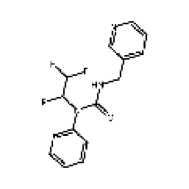 O=C(NCc1cccnc1)N(c1ccccc1)C(F)C(F)F